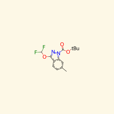 Cc1ccc2c(OC(F)F)nn(C(=O)OC(C)(C)C)c2c1